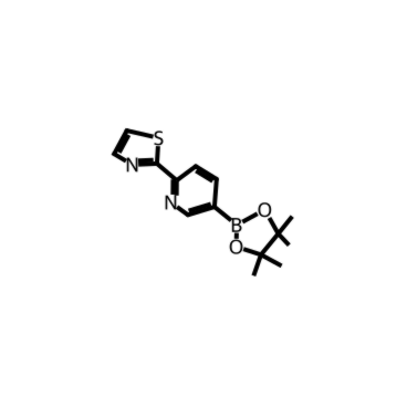 CC1(C)OB(c2ccc(-c3nccs3)nc2)OC1(C)C